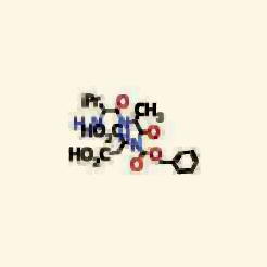 CC(C)[C@H](N)C(=O)N[C@@H](C)C(=O)N(C(=O)OCc1ccccc1)[C@@H](CC(=O)O)C(=O)O